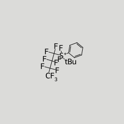 CC(C)(C)[S+](F)(F)(c1ccccc1)C(F)(F)C(F)(F)C(F)(F)C(F)(F)F